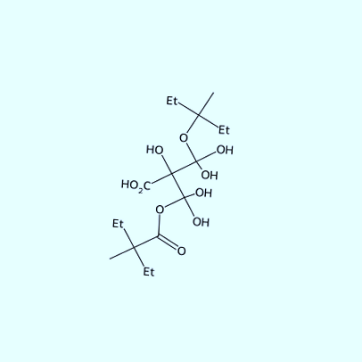 CCC(C)(CC)OC(O)(O)C(O)(C(=O)O)C(O)(O)OC(=O)C(C)(CC)CC